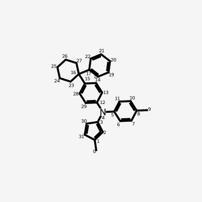 CC1=C=C(N(c2ccc(C)cc2)c2ccc(C3(c4ccccc4)CCCCC3)cc2)C=C1